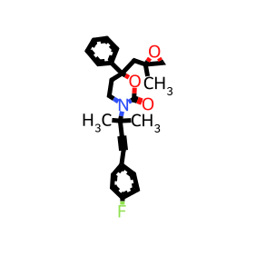 CC1(CC2(c3ccccc3)CCN(C(C)(C)C#Cc3ccc(F)cc3)C(=O)O2)CO1